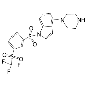 O=S(=O)(c1cccc(S(=O)(=O)C(F)(F)F)c1)n1ccc2c(N3CCNCC3)cccc21